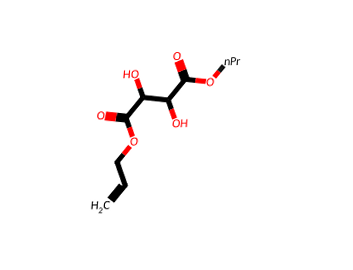 C=CCOC(=O)C(O)C(O)C(=O)OCCC